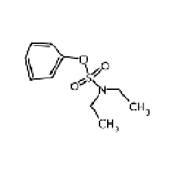 CCN(CC)S(=O)(=O)Oc1ccccc1